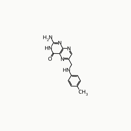 Cc1ccc(NCc2cnc3nc(N)[nH]c(=O)c3n2)cc1